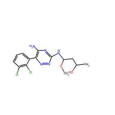 COC(CC(C)O)Nc1nnc(-c2cccc(Cl)c2Cl)c(N)n1